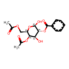 CC(=O)OC[C@H]1O[C@@H](O)[C@H](OC(=O)c2ccccc2)[C@@H](O)[C@H]1OC(C)=O